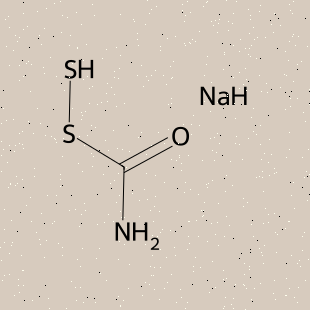 NC(=O)SS.[NaH]